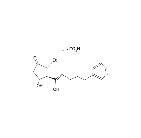 CC(=O)O.CC[C@H]1C(=O)C[C@@H](O)[C@@H]1C(O)=CCCCc1ccccc1